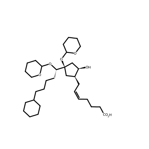 O=C(O)CCC/C=C\C[C@H]1C[C@](OC2CCCCO2)([C@H](CCCCC2CCCCC2)OC2CCCCO2)C[C@H]1O